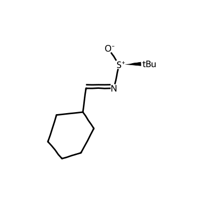 CC(C)(C)[S@+]([O-])/N=C/C1CCCCC1